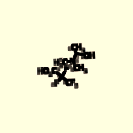 CC(O)N(C)C.O=C(O)C(F)(F)C(F)(F)F